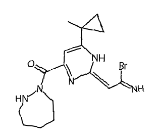 CC1(C2=CC(C(=O)N3CCCCCN3)=N/C(=C/C(=N)Br)N2)CC1